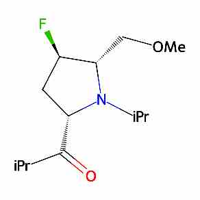 COC[C@H]1[C@H](F)C[C@@H](C(=O)C(C)C)N1C(C)C